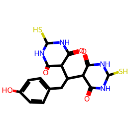 O=C1NC(S)NC(=O)C1C(Cc1ccc(O)cc1)C1C(=O)NC(S)NC1=O